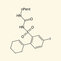 CCCCCNC(=O)NS(=O)(=O)c1cc(I)ccc1C1=CCCCC1